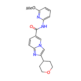 COc1cccc(NC(=O)c2ccc3nc(C4CCOCC4)cn3c2)n1